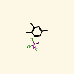 C[PH](Cl)(Cl)Cl.Cc1ccc(C)c(C)c1